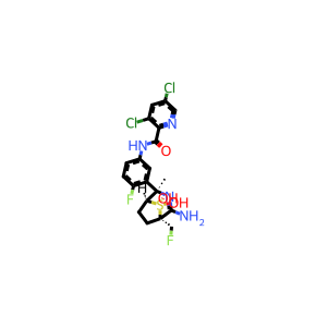 C[C@]1(c2cc(NC(=O)c3ncc(Cl)cc3Cl)ccc2F)N=C(N)[C@@]2(CF)CC[C@@H]1S2(O)O